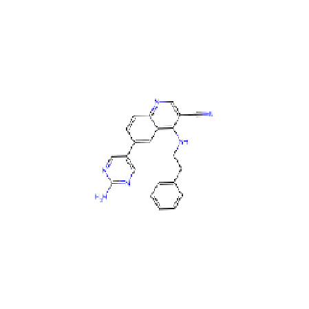 N#Cc1cnc2ccc(-c3cnc(N)nc3)cc2c1NCCc1ccccc1